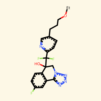 CCOCCCc1ccc(C(F)(F)C2(O)Cn3nnnc3-c3cc(F)ccc32)nc1